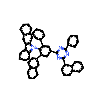 c1ccc(-c2nc(-c3cc(-c4ccccc4)c(-n4c5ccccc5c5cc6ccccc6cc54)c(-c4ccc5ccccc5c4)c3)nc(-c3cccc4ccccc34)n2)cc1